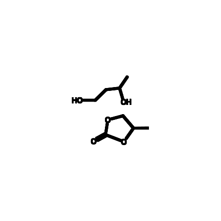 CC(O)CCO.CC1COC(=O)O1